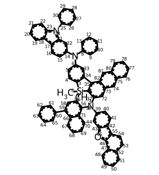 C[Si]1(C)c2ccc(N(c3ccccc3)c3ccc4c5ccccc5n(-c5ccccc5)c4c3)cc2-c2c1c(N(c1ccc3c(c1)oc1c4ccccc4ccc31)c1ccc(-c3ccccc3)c3ccccc13)cc1cc3ccccc3cc21